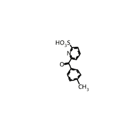 Cc1ccc(C(=O)c2cccc(S(=O)(=O)O)n2)cc1